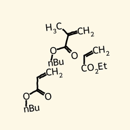 C=C(C)C(=O)OCCCC.C=CC(=O)OCC.C=CC(=O)OCCCC